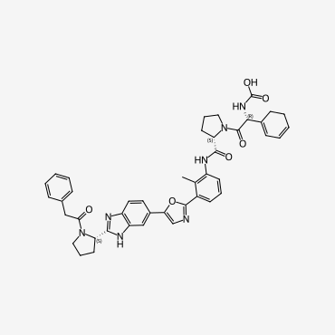 Cc1c(NC(=O)[C@@H]2CCCN2C(=O)[C@H](NC(=O)O)C2=CC=CCC2)cccc1-c1ncc(-c2ccc3nc([C@@H]4CCCN4C(=O)Cc4ccccc4)[nH]c3c2)o1